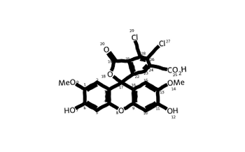 COc1cc2c(cc1O)Oc1cc(O)c(OC)cc1C21OC(=O)c2c1cc(C(=O)O)c(Cl)c2Cl